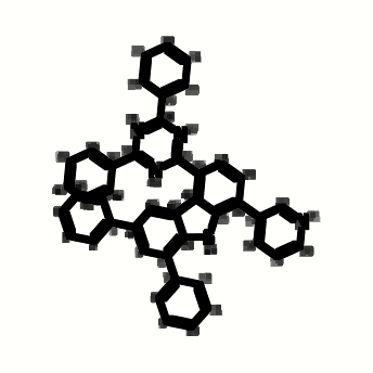 c1ccc(-c2cc(-c3ccccc3)c3sc4c(-c5cccnc5)ccc(-c5nc(-c6ccccc6)nc(-c6ccccc6)n5)c4c3c2)cc1